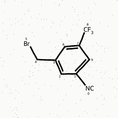 [C-]#[N+]c1cc(CBr)cc(C(F)(F)F)c1